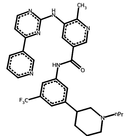 CCCN1CCCC(c2cc(NC(=O)c3cnc(C)c(Nc4nccc(-c5cccnc5)n4)c3)cc(C(F)(F)F)c2)C1